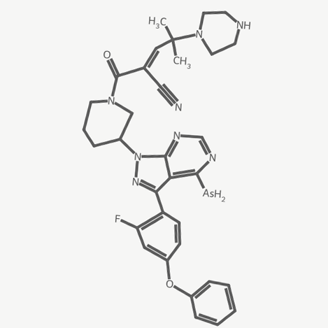 CC(C)(C=C(C#N)C(=O)N1CCCC(n2nc(-c3ccc(Oc4ccccc4)cc3F)c3c([AsH2])ncnc32)C1)N1CCNCC1